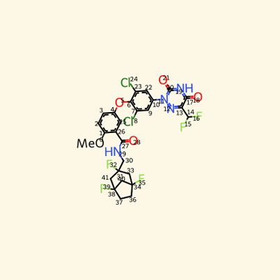 COc1ccc(Oc2c(Cl)cc(-n3nc(C(F)F)c(=O)[nH]c3=O)cc2Cl)cc1C(=O)NCC1(F)CC2(F)CCC(F)(C2)C1